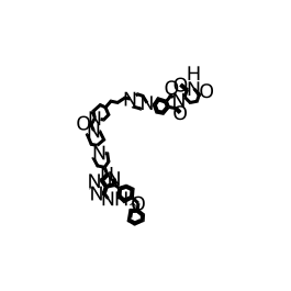 Nc1ncnc2c1c(-c1ccc(Oc3ccccc3)cc1)nn2C1CCN(C2CCN(C(=O)N3CCC(CCCN4CCN(c5ccc6c(c5)C(=O)N(C5CCC(=O)NC5=O)C6=O)CC4)CC3)CC2)CC1